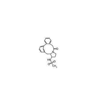 CS(=O)(=O)NC1CCN2C(=O)Cc3ccccc3-c3cccc(c3)CC12